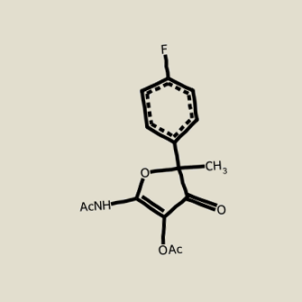 CC(=O)NC1=C(OC(C)=O)C(=O)C(C)(c2ccc(F)cc2)O1